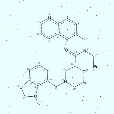 CC(C)CN(Cc1ccc2ncccc2c1)C(=O)[C@H]1CN(Cc2cccc3c2OCO3)CCO1